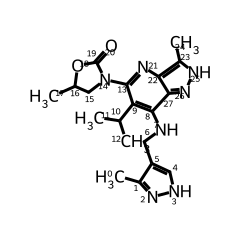 Cc1n[nH]cc1CNc1c(C(C)C)c(N2CC(C)OC2=O)nc2c(C)[nH]nc12